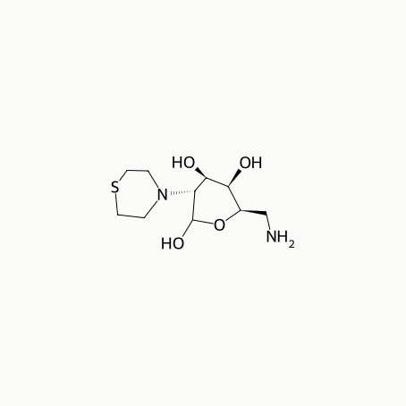 NC[C@H]1OC(O)[C@H](N2CCSCC2)[C@@H](O)[C@H]1O